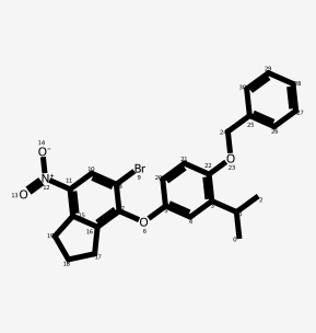 CC(C)c1cc(Oc2c(Br)cc([N+](=O)[O-])c3c2CCC3)ccc1OCc1ccccc1